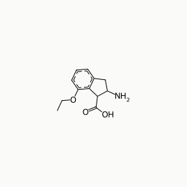 CCOc1cccc2c1C(C(=O)O)C(N)C2